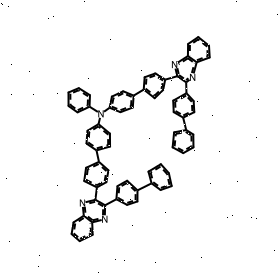 c1ccc(-c2ccc(-c3nc4ccccc4nc3-c3ccc(-c4ccc(N(c5ccccc5)c5ccc(-c6ccc(-c7nc8ccccc8nc7-c7ccc(-c8ccccc8)cc7)cc6)cc5)cc4)cc3)cc2)cc1